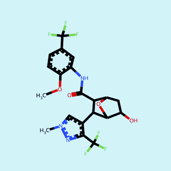 COc1ccc(C(F)(F)F)cc1NC(=O)C1C2CC(O)C(O2)C1c1cn(C)nc1C(F)(F)F